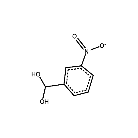 O=[N+]([O-])c1cccc(C(O)O)c1